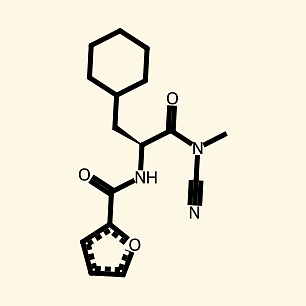 CN(C#N)C(=O)[C@H](CC1CCCCC1)NC(=O)c1ccco1